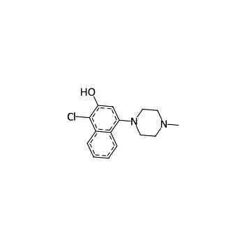 CN1CCN(c2cc(O)c(Cl)c3ccccc23)CC1